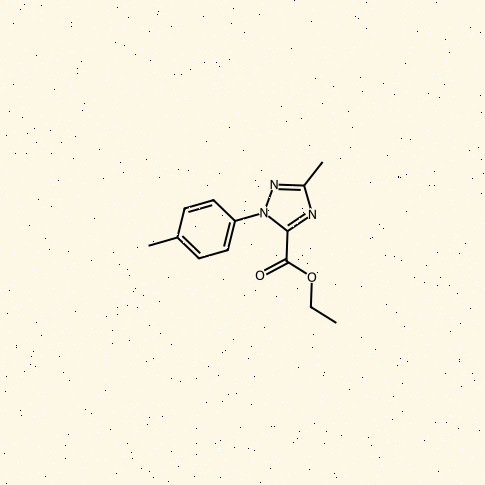 CCOC(=O)c1nc(C)nn1-c1ccc(C)cc1